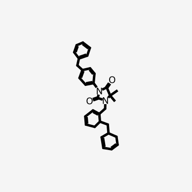 CC1(C)C(=O)N(c2ccc(Cc3ccccc3)cc2)C(=O)N1CC1=CC=CCC1CC1C=CC=CC1